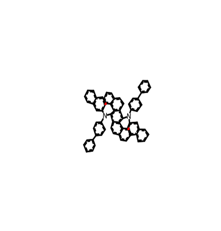 c1ccc(-c2ccc(N(c3ccc4ccccc4c3)c3c4ccc5ccccc5c4c(N(c4ccc(-c5ccccc5)cc4)c4ccc5ccccc5c4)c4ccc5ccccc5c34)cc2)cc1